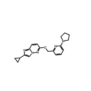 c1cc(COc2ccc3nc(C4CC4)cn3n2)nc(N2CCCC2)c1